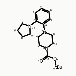 CC(C)(C)OC(=O)N1CCN(c2ccccc2N2CCCC2)CC1